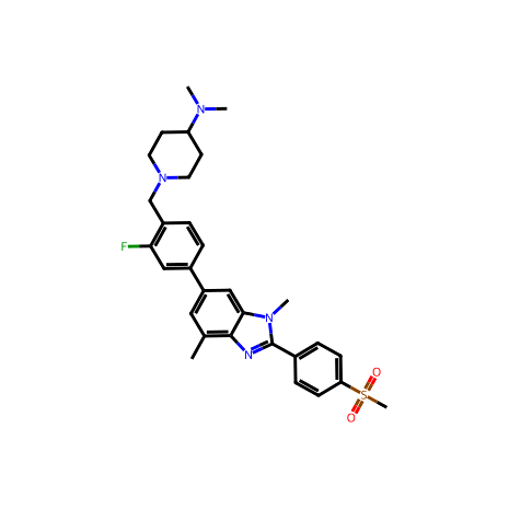 Cc1cc(-c2ccc(CN3CCC(N(C)C)CC3)c(F)c2)cc2c1nc(-c1ccc(S(C)(=O)=O)cc1)n2C